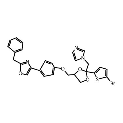 Brc1ccc(C2(Cn3ccnc3)OCC(COc3ccc(-c4coc(Cc5ccccc5)n4)cc3)O2)s1